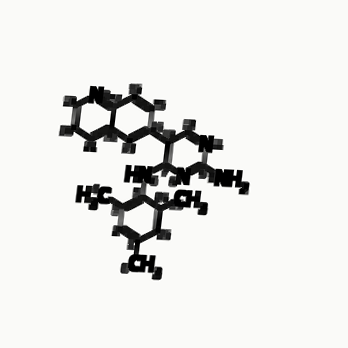 Cc1cc(C)c(Nc2nc(N)ncc2-c2ccc3ncccc3c2)c(C)c1